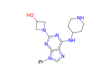 CC(C)n1cnc2c(NC3CCNCC3)nc(N3CC(O)C3)nc21